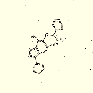 CCCc1cc2c(-c3ccccc3)onc2c(CCC)c1OC(C(=O)O)c1ccccc1